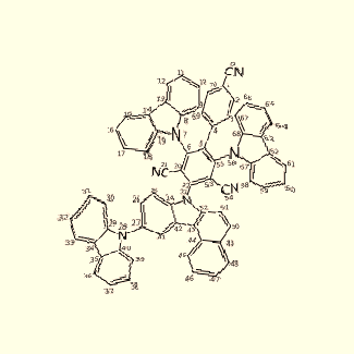 N#Cc1ccc(-c2c(-n3c4ccccc4c4ccccc43)c(C#N)c(-n3c4ccc(-n5c6ccccc6c6ccccc65)cc4c4c5ccccc5ccc43)c(C#N)c2-n2c3ccccc3c3ccccc32)cc1